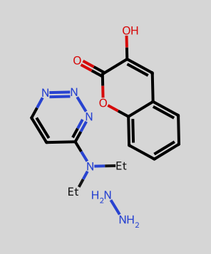 CCN(CC)c1ccnnn1.NN.O=c1oc2ccccc2cc1O